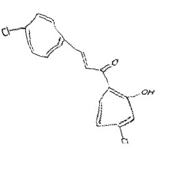 O=C(/C=C/c1ccc(Cl)cc1)c1ccc(Cl)cc1O